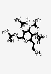 C=CCC1OC(COC(=N)CCC)C(OC(=C)CCC)C(OC(=O)CCC)C1NC(=O)CC